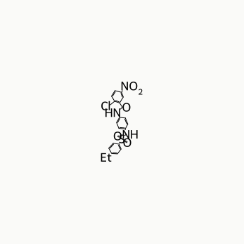 CCc1ccc(S(=O)(=O)Nc2ccc(NC(=O)c3cc([N+](=O)[O-])ccc3Cl)cc2)cc1